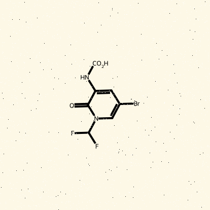 O=C(O)Nc1cc(Br)cn(C(F)F)c1=O